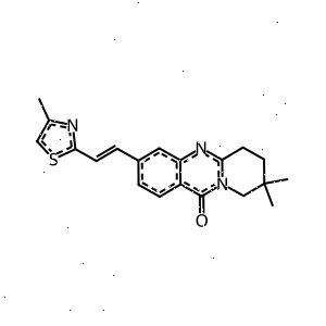 Cc1csc(/C=C/c2ccc3c(=O)n4c(nc3c2)CCC(C)(C)C4)n1